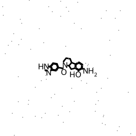 Nc1ccc2c(c1O)CC1C2CCCN1C(=O)c1ccc2[nH]cnc2c1